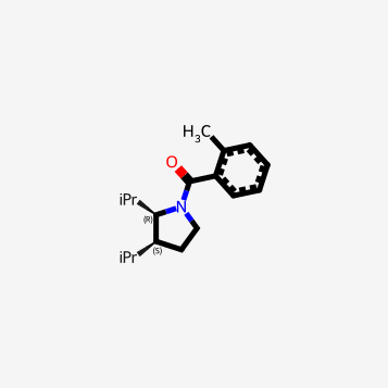 Cc1ccccc1C(=O)N1CC[C@@H](C(C)C)[C@H]1C(C)C